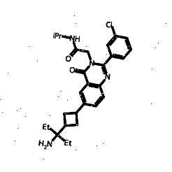 CCC(N)(CC)C1CC(c2ccc3nc(-c4cccc(Cl)c4)n(CC(=O)NC(C)C)c(=O)c3c2)C1